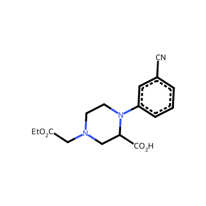 CCOC(=O)CN1CCN(c2cccc(C#N)c2)C(C(=O)O)C1